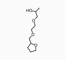 CC(O)COCCOCC1CCCO1